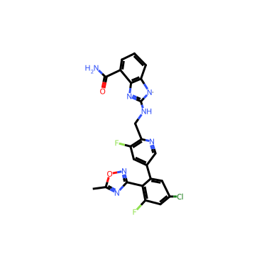 Cc1nc(-c2c(F)cc(Cl)cc2-c2cnc(CNC3=Nc4c(cccc4C(N)=O)[N]3)c(F)c2)no1